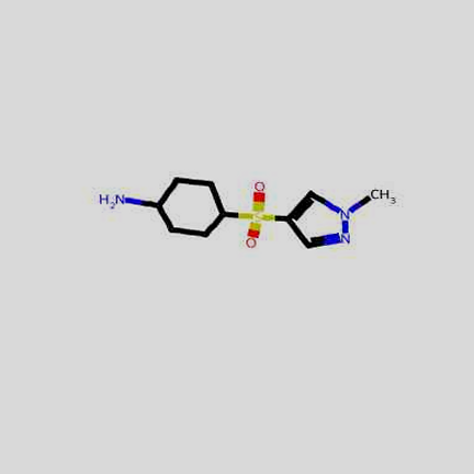 Cn1cc(S(=O)(=O)C2CCC(N)CC2)cn1